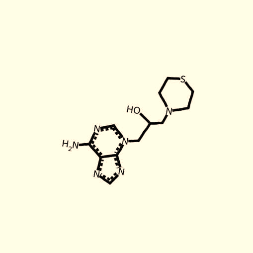 Nc1ncn(CC(O)CN2CCSCC2)c2ncnc1-2